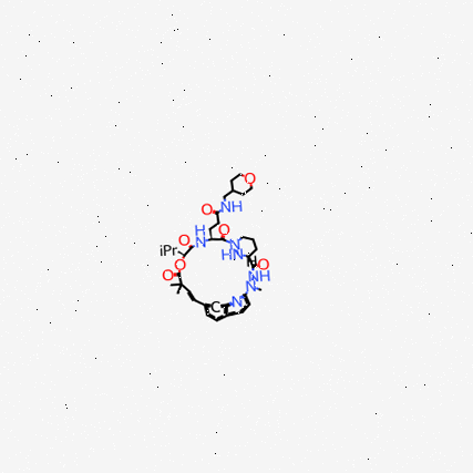 CC(C)[C@@H]1OC(=O)C(C)(C)/C=C/c2ccc3ccc(nc3c2)N(C)NC(=O)[C@@H]2CCCN(N2)C(=O)[C@H](CCC(=O)NCC2CCOCC2)NC1=O